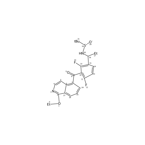 CCOc1nccc2c(C(=O)c3c(F)ccc(C(CC)N[S+]([O-])C(C)(C)C)c3F)cccc12